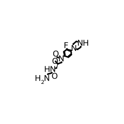 NCC(=O)NC[C@@H]1CN(c2ccc(N3CCNCC3)c(F)c2)C(=O)O1